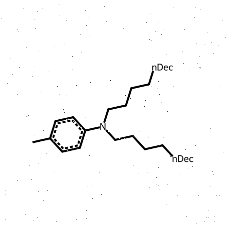 CCCCCCCCCCCCCCN(CCCCCCCCCCCCCC)c1ccc(C)cc1